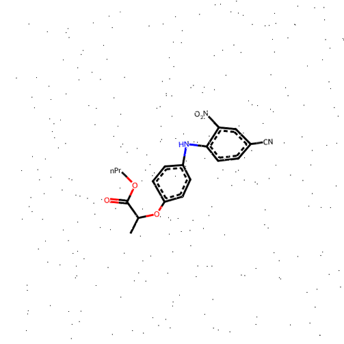 CCCOC(=O)C(C)Oc1ccc(Nc2ccc(C#N)cc2[N+](=O)[O-])cc1